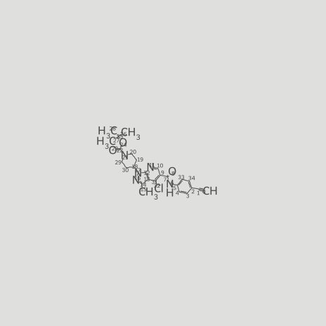 C#Cc1ccc(NC(=O)c2cnc3c(c(C)nn3C3CCN(C(=O)OC(C)(C)C)CC3)c2Cl)cc1